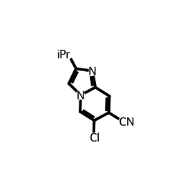 CC(C)c1cn2cc(Cl)c(C#N)cc2n1